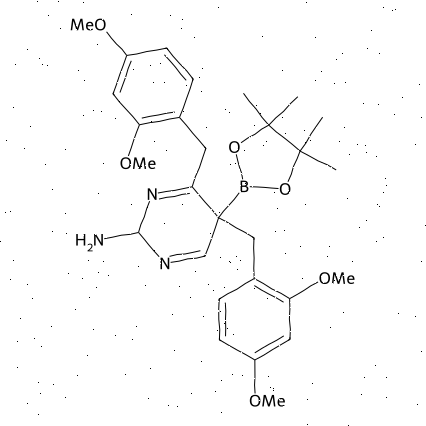 COc1ccc(CC2=NC(N)N=CC2(Cc2ccc(OC)cc2OC)B2OC(C)(C)C(C)(C)O2)c(OC)c1